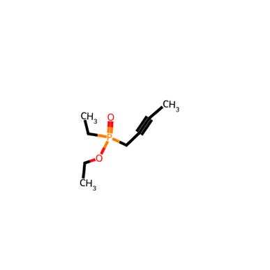 CC#CCP(=O)(CC)OCC